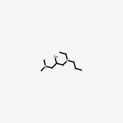 CCCN(CC)CC(O)CN(C)C